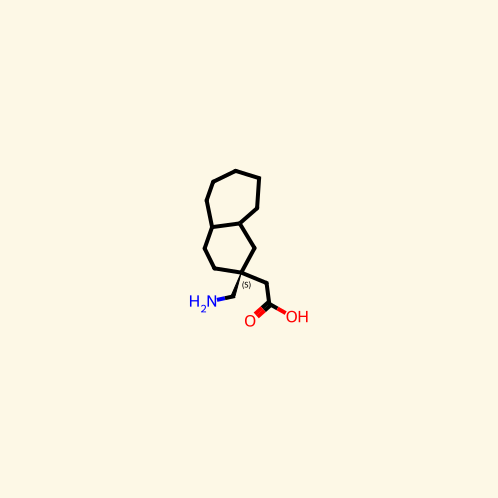 NC[C@@]1(CC(=O)O)CCC2CCCCCC2C1